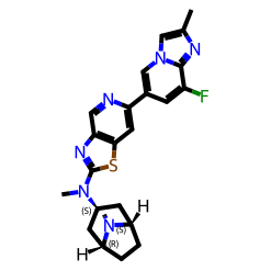 Cc1cn2cc(-c3cc4sc(N(C)[C@@H]5C[C@H]6CC[C@@H](C5)N6C)nc4cn3)cc(F)c2n1